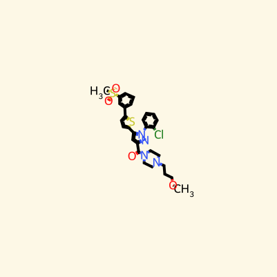 COCCCN1CCN(C(=O)c2cc(-c3ccc(-c4cccc(S(C)(=O)=O)c4)s3)n(-c3ccccc3Cl)n2)CC1